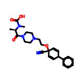 C[C@H](C(=O)N1CCN(CCOC2(C#N)C=CC(c3ccccc3)C=C2)CC1)N(C)C(=O)O